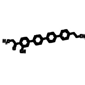 CCCc1ccc(-c2ccc(-c3ccc(-c4ccc(C(=O)CC)c(O)c4)cc3)cc2)cc1